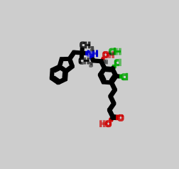 CC(C)(CC1Cc2ccccc2C1)NC[C@@H](O)c1ccc(CCCCC(=O)O)c(Cl)c1Cl.Cl